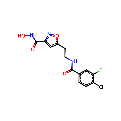 O=C(NCCc1cc(C(=O)NO)no1)c1ccc(Cl)c(F)c1